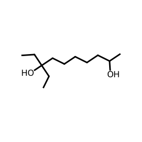 CCC(O)(CC)CCCCCC(C)O